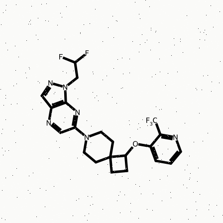 FC(F)Cn1ncc2ncc(N3CCC4(CCC4Oc4cccnc4C(F)(F)F)CC3)nc21